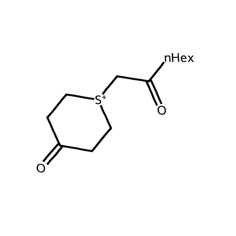 CCCCCCC(=O)C[S+]1CCC(=O)CC1